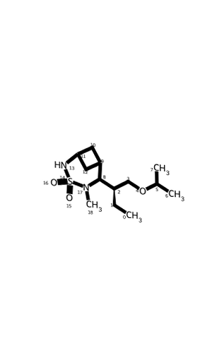 CC[C@H](COC(C)C)C1C2CC(C2)NS(=O)(=O)N1C